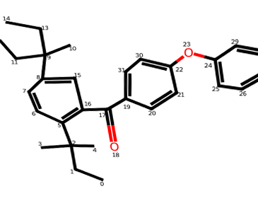 CCC(C)(C)c1ccc(C(C)(CC)CC)cc1C(=O)c1ccc(Oc2ccccc2)cc1